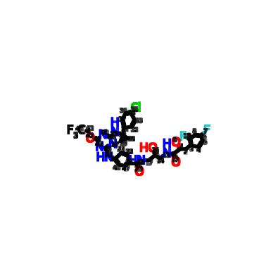 O=C(Cc1ccc(F)cc1F)C(=O)NCC(O)CNC(=O)c1ccc(Nc2nc(NC3(c4ccc(Cl)cc4)CC3)nc(OCC(F)(F)F)n2)cc1